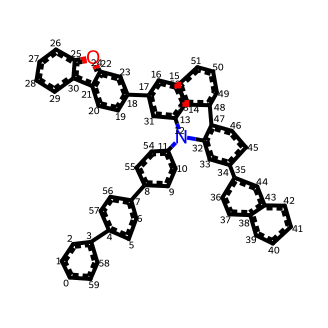 c1ccc(-c2ccc(-c3ccc(N(c4cccc(-c5ccc6c(c5)oc5ccccc56)c4)c4cc(-c5ccc6ccccc6c5)ccc4-c4ccccc4)cc3)cc2)cc1